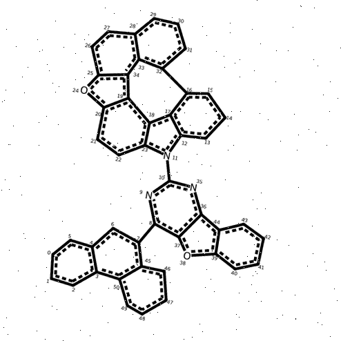 c1ccc2c(c1)cc(-c1nc(-n3c4cccc5c4c4c6c(ccc43)oc3ccc4cccc-5c4c36)nc3c1oc1ccccc13)c1ccccc12